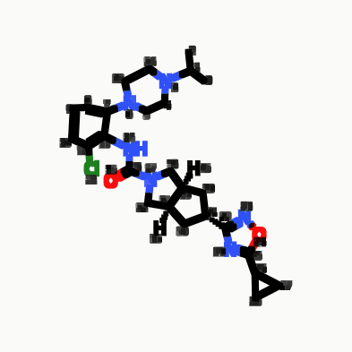 CC(C)N1CCN(c2cccc(Cl)c2NC(=O)N2C[C@H]3C[C@H](c4noc(C5CC5)n4)C[C@H]3C2)CC1